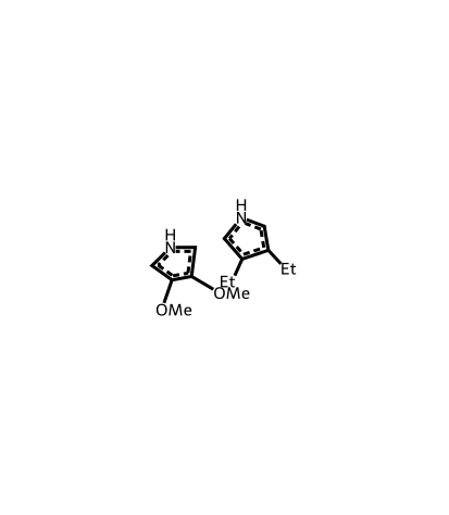 CCc1c[nH]cc1CC.COc1c[nH]cc1OC